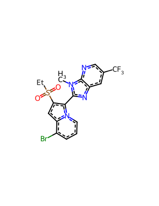 CCS(=O)(=O)c1cc2c(Br)cccn2c1-c1nc2cc(C(F)(F)F)cnc2n1C